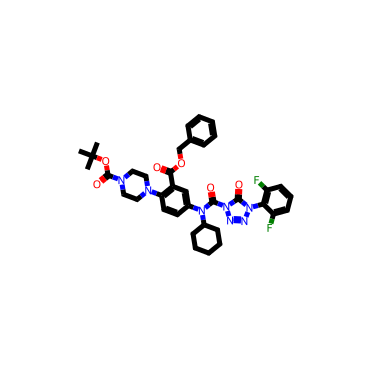 CC(C)(C)OC(=O)N1CCN(c2ccc(N(C(=O)n3nnn(-c4c(F)cccc4F)c3=O)C3CCCCC3)cc2C(=O)OCc2ccccc2)CC1